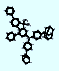 CC1(C)c2cc(-c3ccccc3)ccc2-c2c(-c3ccccc3)cc(N(c3ccc(C4CC5CCC4C5)cc3)c3ccc(C45CC6CC(CC(C6)C4)C5)cc3)cc21